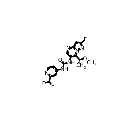 CO[C@@H](C)c1c(NC(=O)Nc2ccnc(C(F)F)c2)cnc2cc(F)nn12